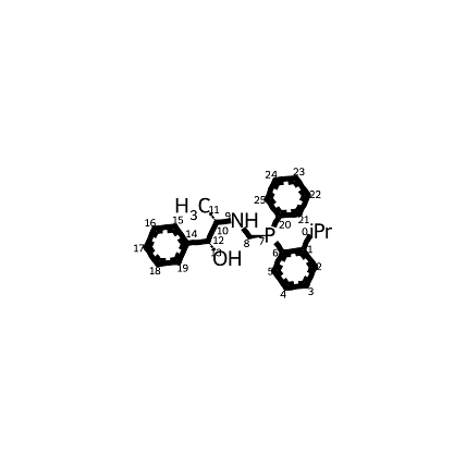 CC(C)c1ccccc1[P@@](CN[C@@H](C)[C@H](O)c1ccccc1)c1ccccc1